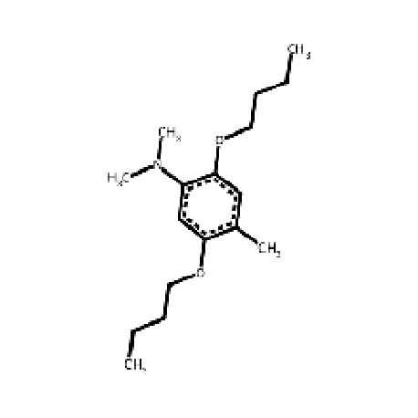 CCCCOc1cc(N(C)C)c(OCCCC)cc1C